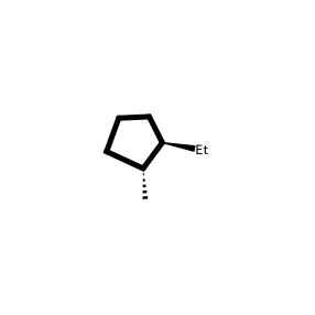 CC[C@@H]1CCC[C@H]1C